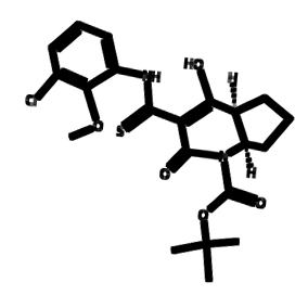 COc1c(Cl)cccc1NC(=S)C1=C(O)[C@H]2CCC[C@H]2N(C(=O)OC(C)(C)C)C1=O